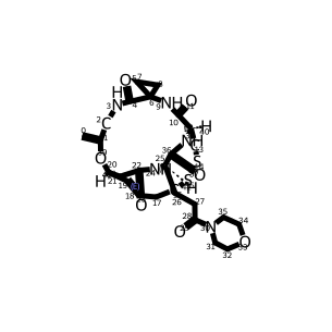 C=C1CNC(=O)C2(CC2)NC(=O)[C@H]2CSSCC/C=C/[C@H](CC(=O)N[C@H](CCC(=O)N3CCOCC3)C(=O)N2)O1